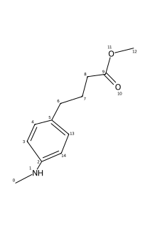 CNc1ccc(CCCC(=O)OC)cc1